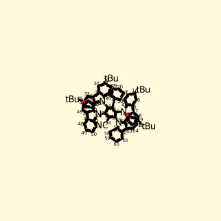 CC(C)(C)c1ccc2c(c1)c1cc(C(C)(C)C)ccc1n2-c1c(-c2ccccc2)c(-n2c3ccc(C(C)(C)C)cc3c3cc(C(C)(C)C)ccc32)c(-n2c3ccccc3c3ccccc32)c(C#N)c1-n1c2ccccc2c2ccccc21